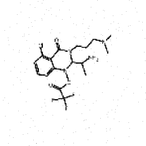 CC(N)C1N(CCCN(C)C)C(=O)c2c(Cl)cccc2N1OC(=O)C(F)(F)F